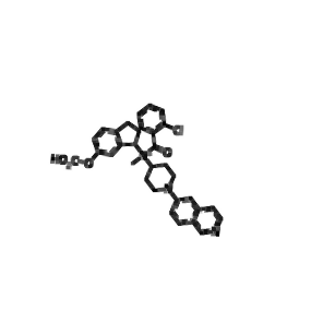 C[N+](C(=O)c1ccccc1Cl)(C1CCN(c2ccc3cnccc3c2)CC1)C1CCc2ccc(OC(=O)O)cc21